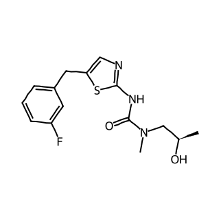 C[C@@H](O)CN(C)C(=O)Nc1ncc(Cc2cccc(F)c2)s1